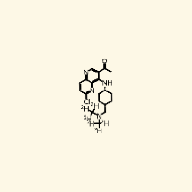 [2H]C([2H])([2H])N(C[C@H]1CC[C@H](Nc2c(C(C)=O)cnc3ccc(Cl)nc23)CC1)C([2H])([2H])[2H]